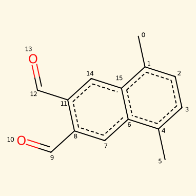 Cc1ccc(C)c2cc(C=O)c(C=O)cc12